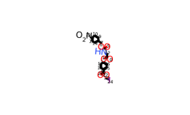 O=C(CNC(=O)OCc1ccc([N+](=O)[O-])cc1)Oc1ccc(C(=O)OCI)cc1